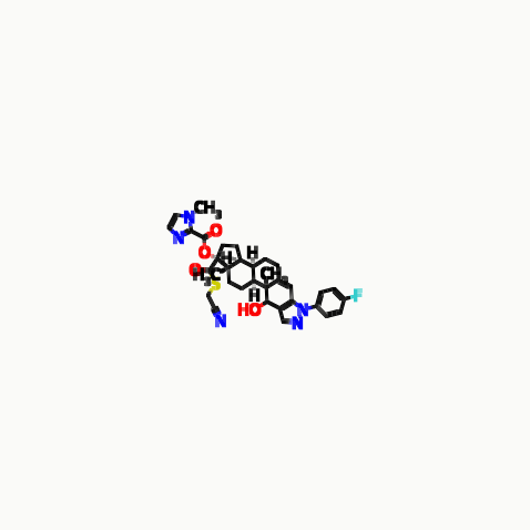 Cn1ccnc1C(=O)O[C@]1(C(=O)SCC#N)CC[C@H]2[C@H]3CCC4=Cc5c(cnn5-c5ccc(F)cc5)C(O)[C@]4(C)[C@H]3CC[C@@]21C